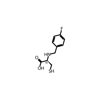 O=C(O)[C@H](CS)NCc1ccc(F)cc1